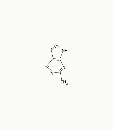 Cc1n[c]c2cc[nH]c2n1